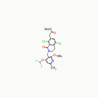 CCCCOc1nc(C)cc(OC(F)F)c1CN1CCc2c(Cl)cc(CC(=O)OC)c(Cl)c2C1=O